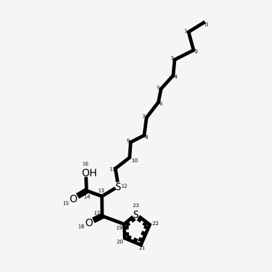 CCCCCCCCCCCCSC(C(=O)O)C(=O)c1cccs1